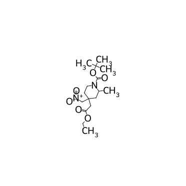 CCOC(=O)CC1(C[N+](=O)[O-])CCN(C(=O)OC(C)(C)C)C(C)C1